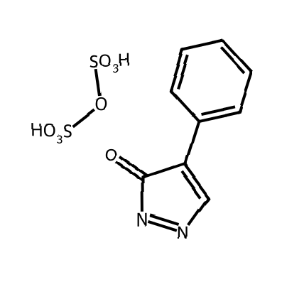 O=C1N=NC=C1c1ccccc1.O=S(=O)(O)OS(=O)(=O)O